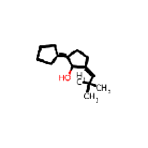 CC(C)(C)C=C1CCC(=C2CCCC2)C1O